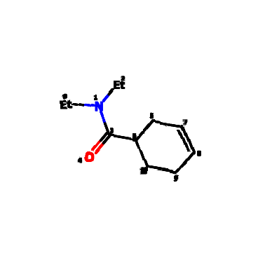 CCN(CC)C(=O)C1CC=CCC1